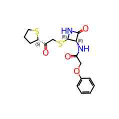 O=C(COc1ccccc1)N[C@@H]1C(=O)N[C@@H]1SCC(=O)[C@@H]1CCCS1